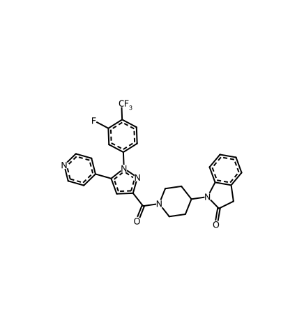 O=C(c1cc(-c2ccncc2)n(-c2ccc(C(F)(F)F)c(F)c2)n1)N1CCC(N2C(=O)Cc3ccccc32)CC1